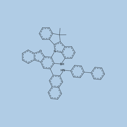 CC1(C)c2ccccc2-c2c1c1cccc3c1n2-c1c(c(-c2cc4ccccc4cc2Nc2ccc(-c4ccccc4)cc2)cc2c1oc1ccccc12)B3